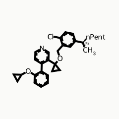 CCCCC[C@@H](C)c1ccc(Cl)c(COC2(c3cnccc3-c3ccccc3OC3CC3)CC2)c1